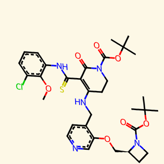 COc1c(Cl)cccc1NC(=S)C1=C(NCc2ccncc2OC[C@@H]2CCN2C(=O)OC(C)(C)C)CCN(C(=O)OC(C)(C)C)C1=O